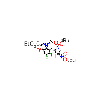 CCOC(=O)c1cn(C2CC2)c2c(C[C@H]3C[C@H](NC(=O)OC(C)(C)C)CN3C(=O)OC(C)(C)C)c(F)c(F)cc2c1=O